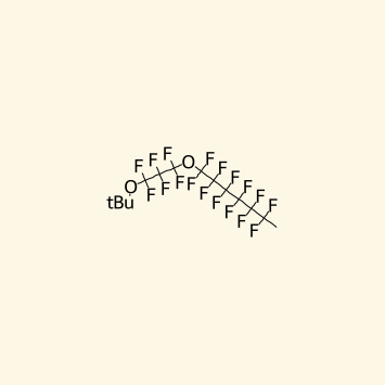 CC(C)(C)OC(F)(F)C(F)(F)C(F)(F)OC(F)(F)C(F)(F)C(F)(F)C(F)(F)C(F)(F)C(C)(F)F